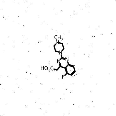 CN1CCN(c2nc(CC(=O)O)c3c(F)cccc3n2)CC1